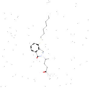 CNC(=O)CCC(C=O)N1Cc2c(SCCCCCCC(=O)O)cccc2C1=O